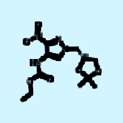 CCOC(=O)Nc1cn(C[C@@H]2COC(C)(C)O2)nc1[N+](=O)[O-]